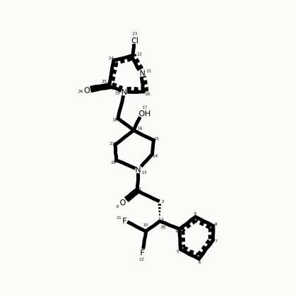 O=C(C[C@H](c1ccccc1)C(F)F)N1CCC(O)(Cn2cnc(Cl)cc2=O)CC1